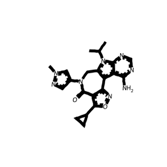 CC(C)n1c2c(c3c(N)ncnc31)-c1noc(C3CC3)c1C(=O)N(c1cnn(C)c1)C2